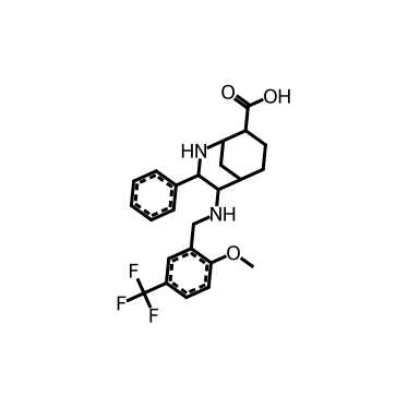 COc1ccc(C(F)(F)F)cc1CNC1C2CCC(C(=O)O)C(C2)NC1c1ccccc1